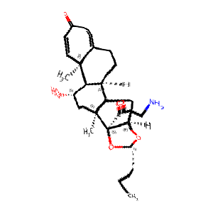 CCC[C@H]1O[C@@H]2CC3[C@@H]4CCC5=CC(=O)C=C[C@]5(C)C4[C@@H](O)C[C@]3(C)[C@]2(C(=O)CN)O1